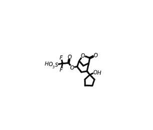 O=C1OC2CC1C(C1(O)CCCC1)CC2OC(=O)C(F)(F)S(=O)(=O)O